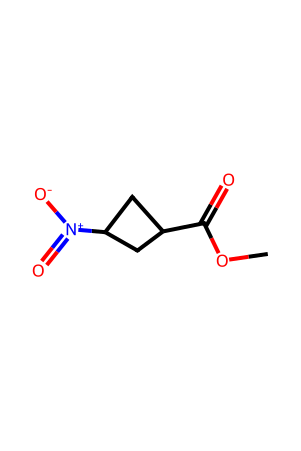 COC(=O)C1CC([N+](=O)[O-])C1